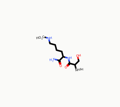 CC(=O)NC(CO)C(=O)NC(CCCCNC(=O)O)C(N)=O